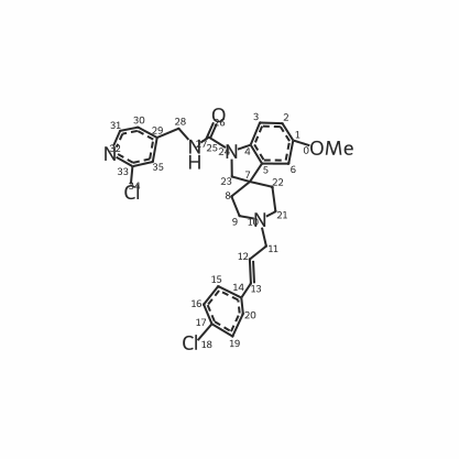 COc1ccc2c(c1)C1(CCN(C/C=C/c3ccc(Cl)cc3)CC1)CN2C(=O)NCc1ccnc(Cl)c1